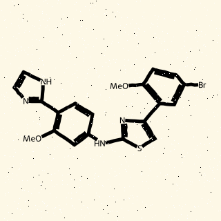 COc1ccc(Br)cc1-c1csc(Nc2ccc(-c3ncc[nH]3)c(OC)c2)n1